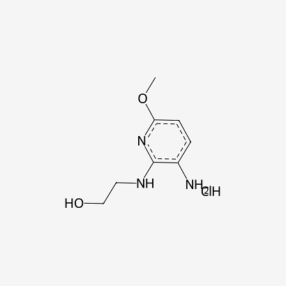 COc1ccc(N)c(NCCO)n1.Cl